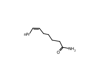 CCC/C=C\CCCCC(N)=O